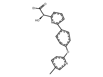 CCC(=O)[C@H](O)c1cccc(-c2ccc(Oc3ccc(C)cn3)cc2)n1